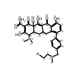 CN(CCF)Cc1ccc(-c2ccc(O)c3c2CC2CC4C(N(C)C)C(O)=C(C(N)=O)C(=O)C4(O)C(O)=C2C3=O)cc1